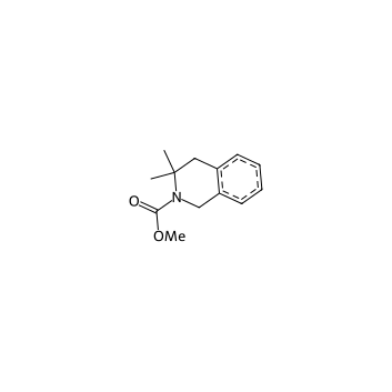 COC(=O)N1Cc2ccccc2CC1(C)C